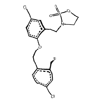 O=S1(=O)OCCN1Cc1cc(Cl)ccc1OCc1ccc(Cl)cc1F